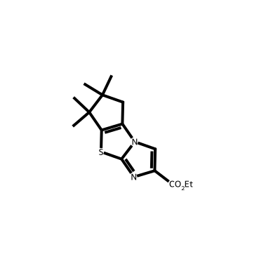 CCOC(=O)c1cn2c3c(sc2n1)C(C)(C)C(C)(C)C3